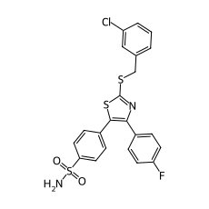 NS(=O)(=O)c1ccc(-c2sc(SCc3cccc(Cl)c3)nc2-c2ccc(F)cc2)cc1